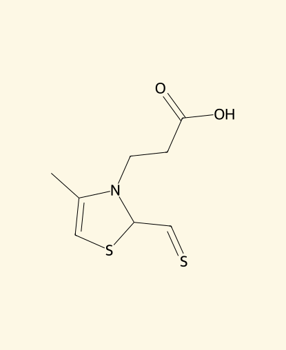 CC1=CSC(C=S)N1CCC(=O)O